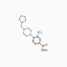 COC(=O)c1ccc(N2CCN(CC3CCCC3)CC2)c(N)c1